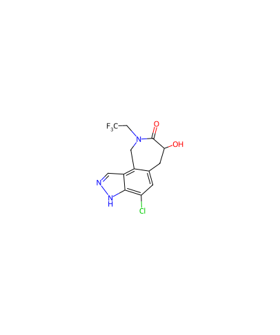 O=C1C(O)Cc2cc(Cl)c3[nH]ncc3c2CN1CC(F)(F)F